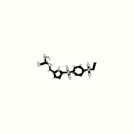 C=CS(=O)(=O)c1ccc(S(=O)(=O)c2ccc(COC(N)=O)s2)cc1